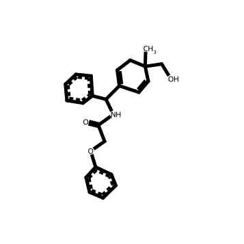 CC1(CO)C=CC(C(NC(=O)COc2ccccc2)c2ccccc2)=CC1